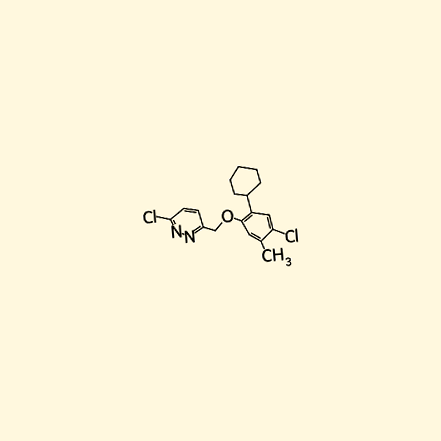 Cc1cc(OCc2ccc(Cl)nn2)c(C2CCCCC2)cc1Cl